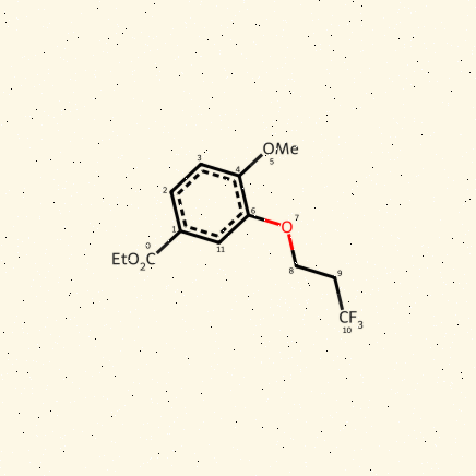 CCOC(=O)c1ccc(OC)c(OCCC(F)(F)F)c1